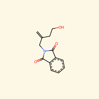 C=C(CCO)CN1C(=O)c2ccccc2C1=O